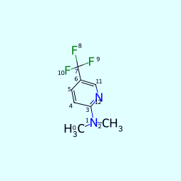 CN(C)c1ccc(C(F)(F)F)cn1